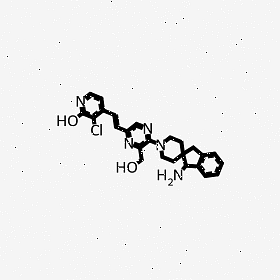 NC1c2ccccc2CC12CCN(c1ncc(C=Cc3ccnc(O)c3Cl)nc1CO)CC2